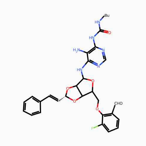 CCC(C)NC(=O)Nc1ncnc(NC2OC(COc3c(F)cccc3C=O)C3O[C@H](/C=C/c4ccccc4)OC23)c1N